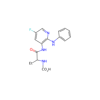 CCC(NC(=O)O)C(=O)Nc1cc(F)cnc1Nc1ccccc1